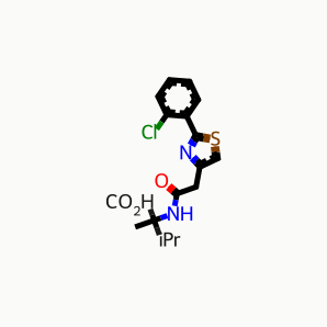 CC(C)C(C)(NC(=O)Cc1csc(-c2ccccc2Cl)n1)C(=O)O